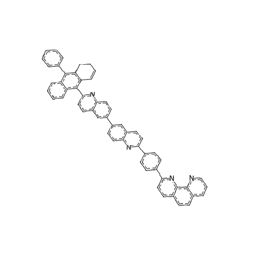 C1=Cc2c(c(-c3ccccc3)c3ccccc3c2-c2ccc3cc(-c4ccc5nc(-c6ccc(-c7ccc8ccc9cccnc9c8n7)cc6)ccc5c4)ccc3n2)CC1